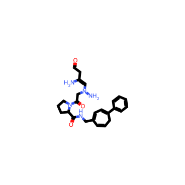 N/C(=C\N(N)CC(=O)N1CCCC1C(=O)NCC1=CC=C(c2ccccc2)CC=C1)CC=O